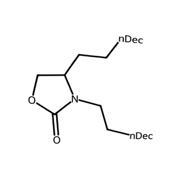 CCCCCCCCCCCCC1COC(=O)N1CCCCCCCCCCCC